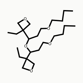 CCCCOCCC(OC(CCOCCCC)C1(CC)COC1)C1(CC)COC1